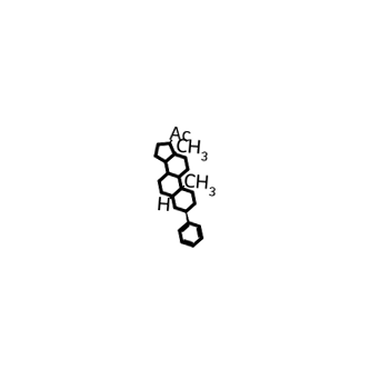 CC(=O)[C@H]1CCC2C3CC[C@H]4C[C@H](c5ccccc5)CC[C@]4(C)C3CC[C@@]21C